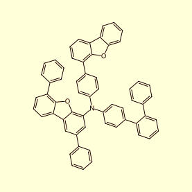 c1ccc(-c2cc(N(c3ccc(-c4ccccc4-c4ccccc4)cc3)c3ccc(-c4cccc5c4oc4ccccc45)cc3)c3oc4c(-c5ccccc5)cccc4c3c2)cc1